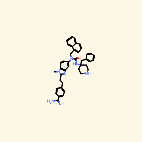 Cn1c(CCc2ccc(C(=N)N)cc2)nc2cc(N(Cc3cccc4ccccc34)C(=O)NC3(Cc4ccccc4)CCNCC3)ccc21